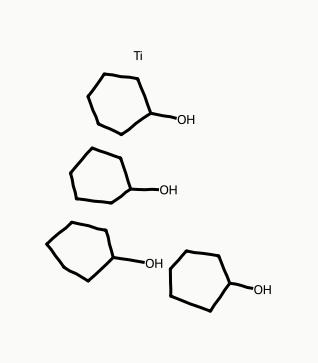 OC1CCCCC1.OC1CCCCC1.OC1CCCCC1.OC1CCCCC1.[Ti]